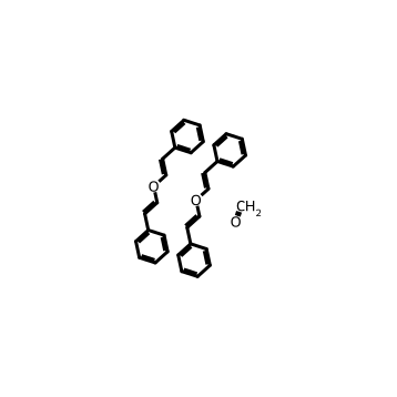 C(=Cc1ccccc1)OC=Cc1ccccc1.C(=Cc1ccccc1)OC=Cc1ccccc1.C=O